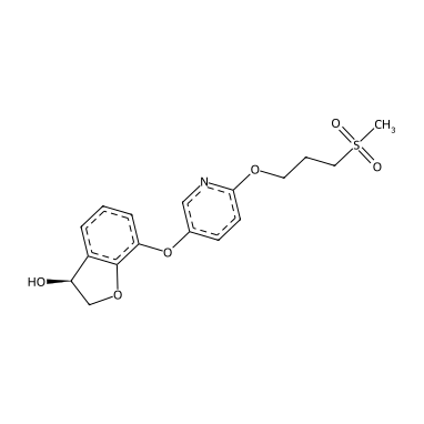 CS(=O)(=O)CCCOc1ccc(Oc2cccc3c2OC[C@H]3O)cn1